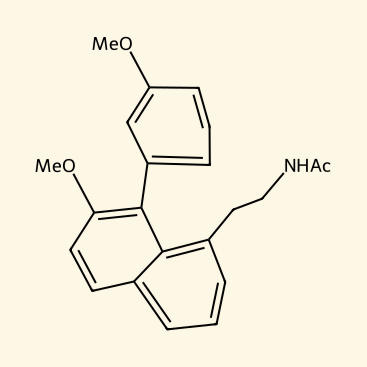 COc1cccc(-c2c(OC)ccc3cccc(CCNC(C)=O)c23)c1